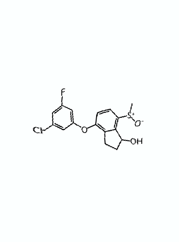 C[S+]([O-])c1ccc(Oc2cc(F)cc(Cl)c2)c2c1C(O)CC2